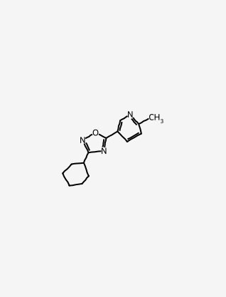 Cc1ccc(-c2nc(C3CCCCC3)no2)cn1